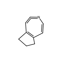 C1=CC2=C(C=CN=1)CCC2